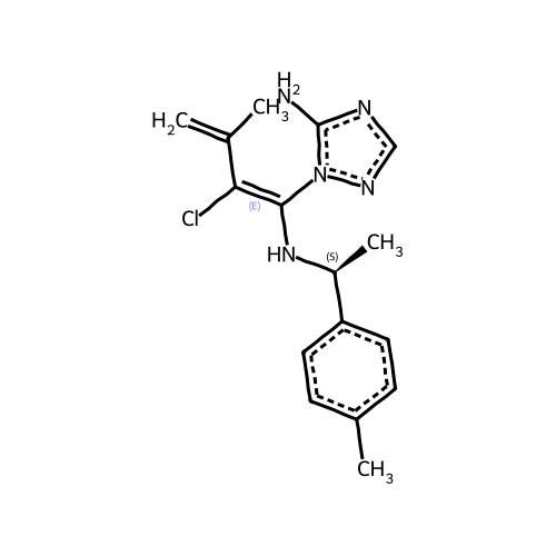 C=C(C)/C(Cl)=C(/N[C@@H](C)c1ccc(C)cc1)n1ncnc1N